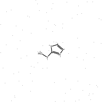 OSc1nccs1